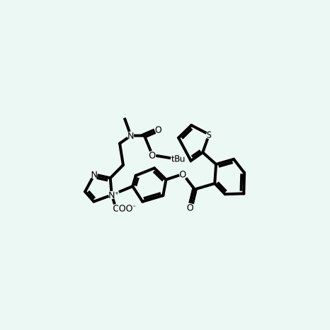 CN(CCC1=NC=C[N+]1(C(=O)[O-])c1ccc(OC(=O)c2ccccc2-c2cccs2)cc1)C(=O)OC(C)(C)C